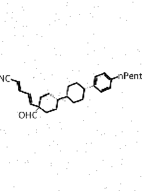 CCCCCc1ccc([C@H]2CC[C@H]([C@H]3CC[C@](C=O)(C=CC=CC#N)CC3)CC2)cc1